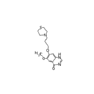 COc1cc2c(=O)nc[nH]c2cc1OCCCN1CCSCC1